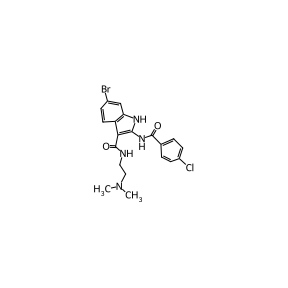 CN(C)CCNC(=O)c1c(NC(=O)c2ccc(Cl)cc2)[nH]c2cc(Br)ccc12